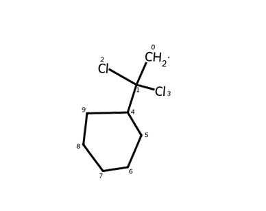 [CH2]C(Cl)(Cl)C1CCCCC1